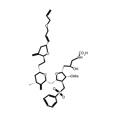 C=CCOC/C=C/[C@H]1CC(=C)[C@H](CC[C@H]2C[C@@H](C)C(=C)[C@@H](C[C@@H]3O[C@H](C[C@H](O)CNC(=O)O)[C@H](OC)[C@H]3CS(=O)(=O)c3ccccc3)O2)O1